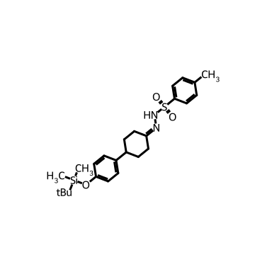 Cc1ccc(S(=O)(=O)NN=C2CCC(c3ccc(O[Si](C)(C)C(C)(C)C)cc3)CC2)cc1